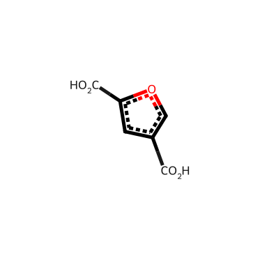 O=C(O)c1coc(C(=O)O)c1